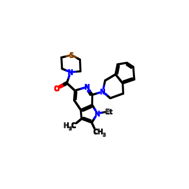 CCn1c(C)c(C)c2cc(C(=O)N3CCSCC3)nc(N3CCc4ccccc4C3)c21